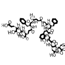 C[C@@H](CCC(=O)NCC(=O)N[C@@H](Cc1ccccc1)C(=O)NC(Cc1ccccc1)C(=O)NC[C@H](N)C(=O)N[C@@H](CC(=O)O)C(=O)N[C@@H](CS)C(=O)O)NC(=O)[C@H](Cc1ccccc1)NC(=O)CC[C@H](NC(=O)N[C@@H](CCC(=O)O)C(=O)O)C(=O)O